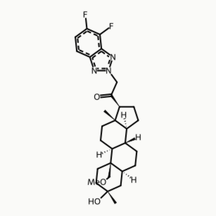 COC[C@]12CC[C@@](C)(O)C[C@@H]1CC[C@H]1[C@@H]3CC[C@H](C(=O)Cn4nc5ccc(F)c(F)c5n4)[C@@]3(C)CC[C@@H]12